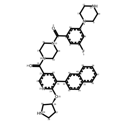 O=C(c1cc(F)cc(N2CCNCC2)c1)N1CCN(C(=O)c2cnc(O[C@H]3CCNC3)c(-c3ccc4ccccc4c3)c2)CC1